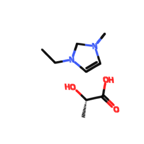 CCN1C=CN(C)C1.C[C@H](O)C(=O)O